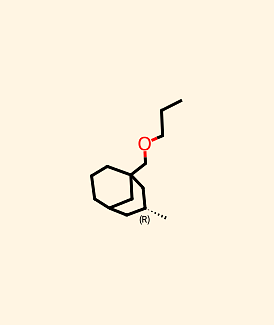 CCCOCC12CCCC(C[C@@H](C)C1)C2